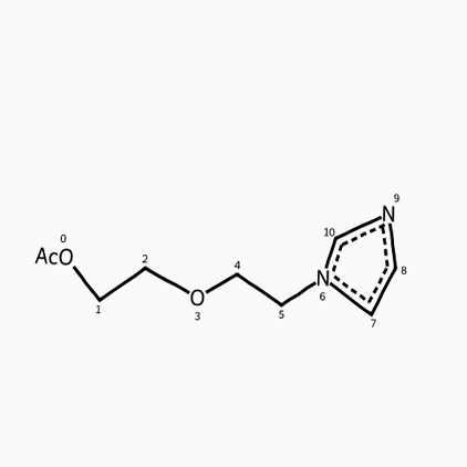 CC(=O)OCCOCCn1ccnc1